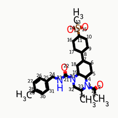 CC(=O)N1C2CCC(C3CCC(S(C)(=O)=O)CC3)CC2N(C(=O)NCc2ccc(C)cc2)C[C@@H]1C